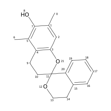 Cc1cc2c(c(C)c1O)CCC1(OCCc3ccccc31)O2